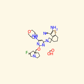 N#Cc1c(N)sc2c1C1(CCC2)CN(c2cc(N3CC4COCC(C3)N4)nc(OC[C@@]34CCCN3C[C@H](F)C4)n2)C1.O=CO